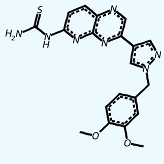 COc1ccc(Cn2cc(-c3cnc4ccc(NC(N)=S)nc4n3)cn2)cc1OC